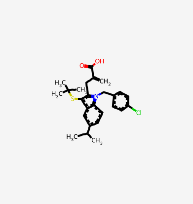 C=C(Cc1c(SC(C)(C)C)c2cc(C(C)C)ccc2n1Cc1ccc(Cl)cc1)C(=O)O